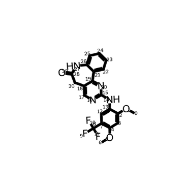 COc1cc(OC)c(C(F)(F)F)cc1Nc1ncc2c(n1)-c1ccccc1NC(=O)C2